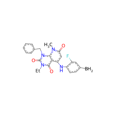 Bc1ccc(Nc2cc(=O)n(C)c3c2c(=O)n(CC)c(=O)n3Cc2ccccc2)c(F)c1